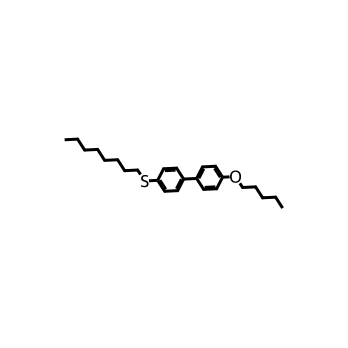 CCCCCCCCSc1ccc(-c2ccc(OCCCCC)cc2)cc1